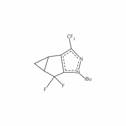 CCC(C)n1nc(C(F)(F)F)c2c1C(F)(F)C1CC21